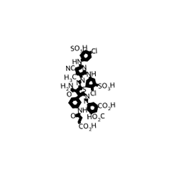 Cc1c(C#N)c(Nc2ccc(Cl)c(S(=O)(=O)O)c2)nc(Nc2ccc(Cl)c(S(=O)(=O)O)c2)c1N=Nc1sc(N=Nc2cc(C(=O)O)cc(C(=O)O)c2)c(-c2cccc(NC(=O)CCC(=O)O)c2)c1C(N)=O